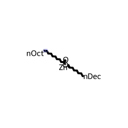 CCCCCCCC/C=C\CCCCCCCC(=O)OC=CCCCCCCCCCCCCCCCC.[Zn]